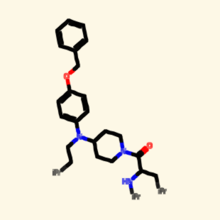 CC(C)CCN(c1ccc(OCc2ccccc2)cc1)C1CCN(C(=O)C(CC(C)C)NC(C)C)CC1